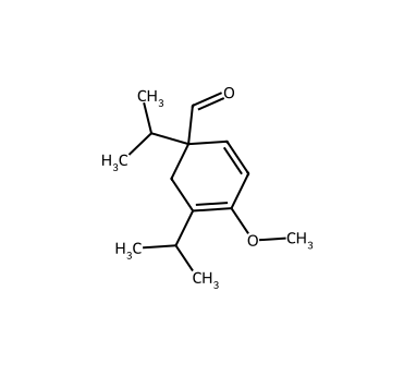 COC1=C(C(C)C)CC(C=O)(C(C)C)C=C1